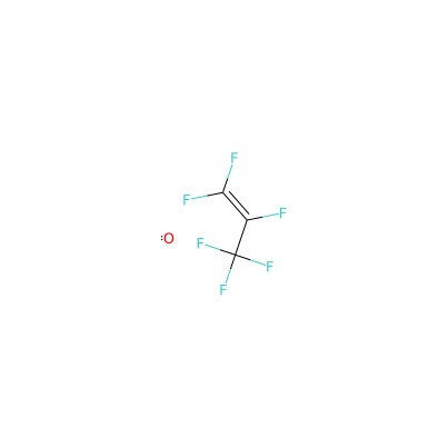 FC(F)=C(F)C(F)(F)F.[O]